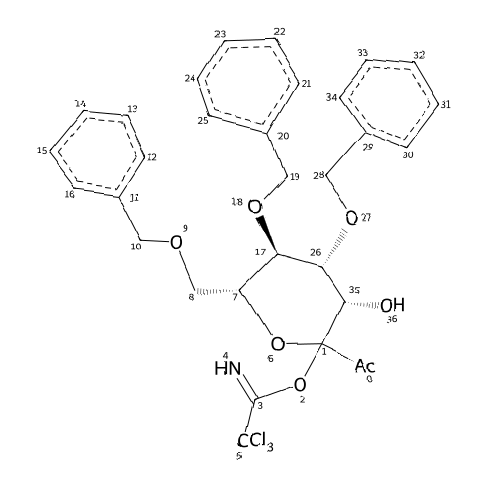 CC(=O)C1(OC(=N)C(Cl)(Cl)Cl)O[C@H](COCc2ccccc2)[C@@H](OCc2ccccc2)[C@H](OCc2ccccc2)[C@@H]1O